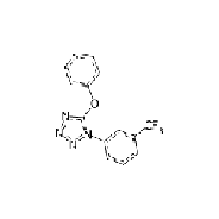 FC(F)(F)c1cccc(-n2nnnc2Oc2ccccc2)c1